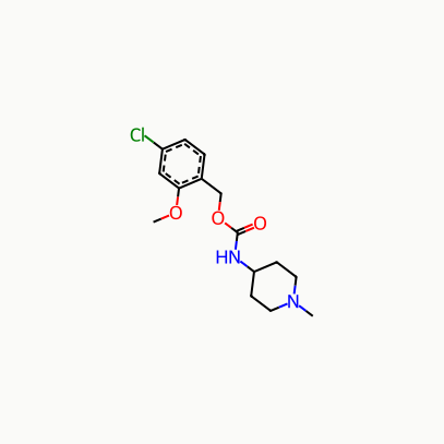 COc1cc(Cl)ccc1COC(=O)NC1CCN(C)CC1